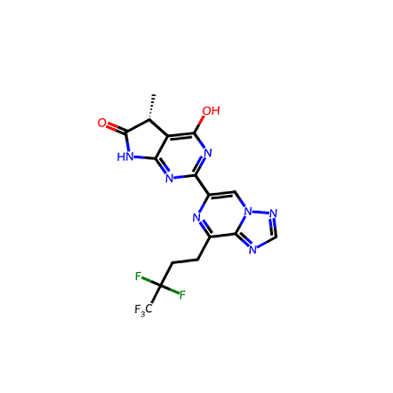 C[C@H]1C(=O)Nc2nc(-c3cn4ncnc4c(CCC(F)(F)C(F)(F)F)n3)nc(O)c21